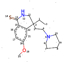 CCC1(CCN2CCCCC2)CNC(=S)c2ccc(OC)cc21